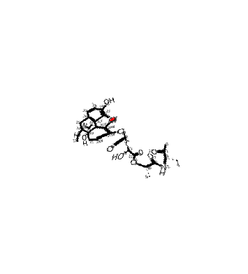 CC(=O)[C@H](C)NC(=O)[C@H](C)OC(=O)[C@@H](O)CC(=O)OC1=CC[C@@]2(O)[C@H]3Cc4ccc(O)c5c4[C@@]2(CCN3C)[C@H]1O5